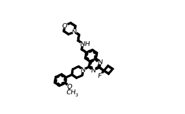 COc1ccccc1C1CCN(c2nc(C3(F)CCC3)nc3ccc(CNCCN4CCOCC4)cc23)CC1